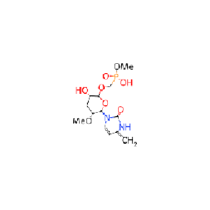 C=C1C=CN([C@@H]2O[C@H](OCP(=O)(O)OC)[C@@H](O)C[C@H]2OC)C(=O)N1